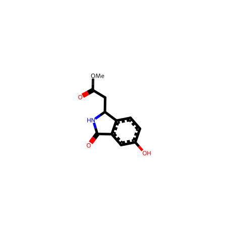 COC(=O)CC1NC(=O)c2cc(O)ccc21